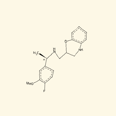 COc1cc([C@@H](C)NCC2CNc3ccccc3O2)ccc1F